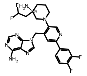 Nc1ncnc2c1ncn2Cc1cc(-c2ccc(F)c(F)c2)ncc1N1CCC[C@](N)(CC(F)F)C1